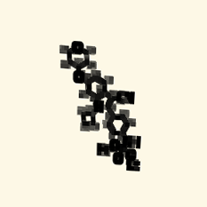 CCOP(=O)(Nc1ccc(-c2c(C#N)c3ccc(OC4CCOCC4)cc3n2C2CCC2)cc1)OCC